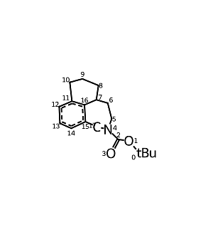 CC(C)(C)OC(=O)N1CCC2CCCc3cccc(c32)C1